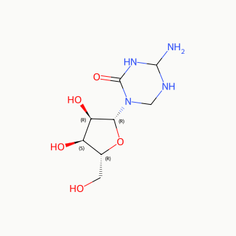 NC1NCN([C@@H]2O[C@H](CO)[C@@H](O)[C@H]2O)C(=O)N1